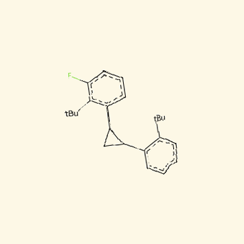 CC(C)(C)c1ccccc1C1CC1c1cccc(F)c1C(C)(C)C